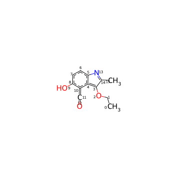 CCOC1=c2c(ccc(O)c2=C=O)N=C1C